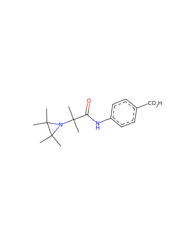 CC(C)(C(=O)Nc1ccc(C(=O)O)cc1)N1C(C)(C)C1(C)C